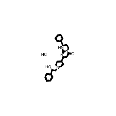 Cl.O=c1cc(C2=CCN(C[C@@H](O)c3ccccc3)C=C2)nc2n1CCC(c1ccccc1)N2